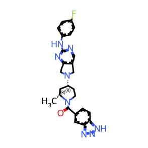 C[C@@H]1C[C@H](N2Cc3cnc(Nc4ccc(F)cc4)nc3C2)CCN1C(=O)c1ccc2[nH]nnc2c1